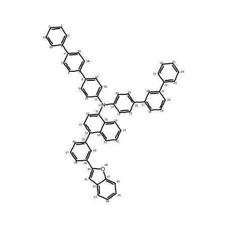 c1ccc(-c2ccc(-c3ccc(N(c4ccc(-c5cccc(-c6ccccc6)c5)cc4)c4ccc(-c5cccc(-c6cc7ccccc7o6)c5)c5ccccc45)cc3)cc2)cc1